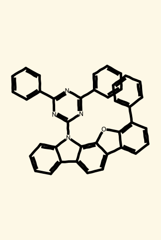 c1ccc(-c2nc(-c3ccccc3)nc(-n3c4ccccc4c4ccc5c6cccc(-c7ccccc7)c6oc5c43)n2)cc1